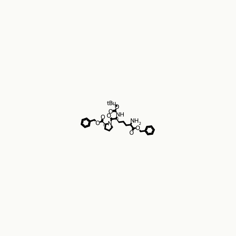 CC(C)(C)OC(=O)N[C@@H](CCCC(N)C(=O)OCc1ccccc1)C(=O)N1CCC[C@H]1C(=O)OCc1ccccc1